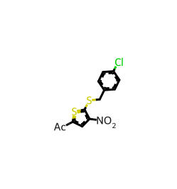 CC(=O)c1cc([N+](=O)[O-])c(SCc2ccc(Cl)cc2)s1